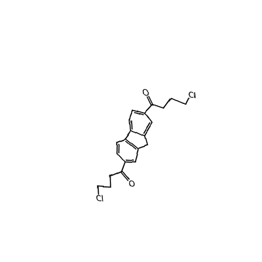 O=C(CCCCl)c1ccc2c(c1)Cc1cc(C(=O)CCCCl)ccc1-2